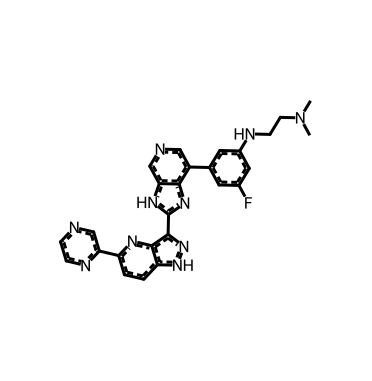 CN(C)CCNc1cc(F)cc(-c2cncc3[nH]c(-c4n[nH]c5ccc(-c6cnccn6)nc45)nc23)c1